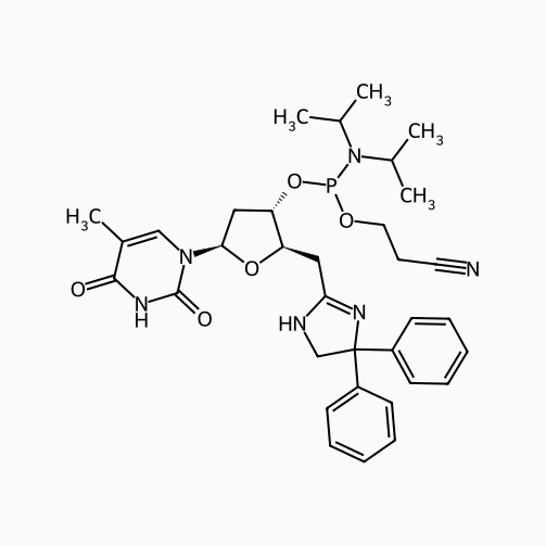 Cc1cn([C@H]2C[C@H](OP(OCCC#N)N(C(C)C)C(C)C)[C@@H](CC3=NC(c4ccccc4)(c4ccccc4)CN3)O2)c(=O)[nH]c1=O